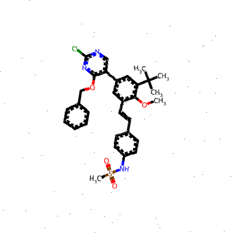 COc1c(/C=C/c2ccc(NS(C)(=O)=O)cc2)cc(-c2cnc(Cl)nc2OCc2ccccc2)cc1C(C)(C)C